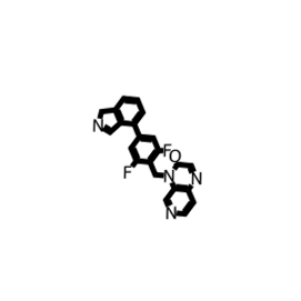 O=c1cnc2ccncc2n1Cc1c(F)cc(-c2cccc3c2C=NC3)cc1F